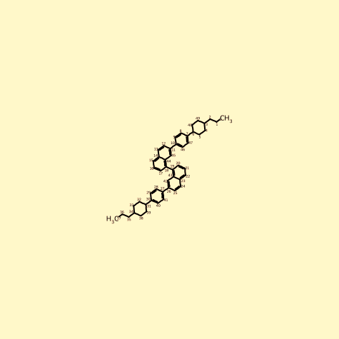 CCCC1CCC(c2ccc(-c3ccc4cccc(-c5cccc6ccc(-c7ccc(C8CCC(CCC)CC8)cc7)cc56)c4c3)cc2)CC1